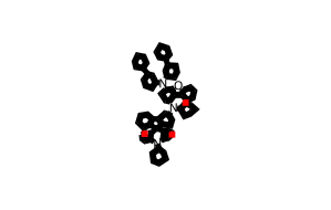 c1ccc(-c2cccc(N(c3cccc(-c4ccccc4)c3)c3ccc(N(c4ccccc4)c4ccc5c(c4)-c4ccccc4C54c5ccccc5N(c5ccccc5)c5ccccc54)c4c3oc3ccccc34)c2)cc1